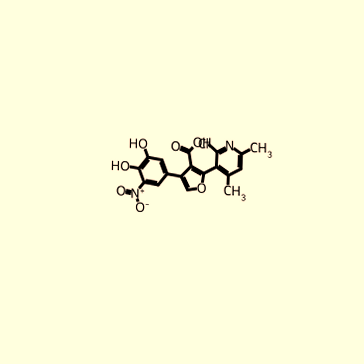 Cc1cc(C)c(-c2occ(-c3cc(O)c(O)c([N+](=O)[O-])c3)c2C(=O)O)c(Cl)n1